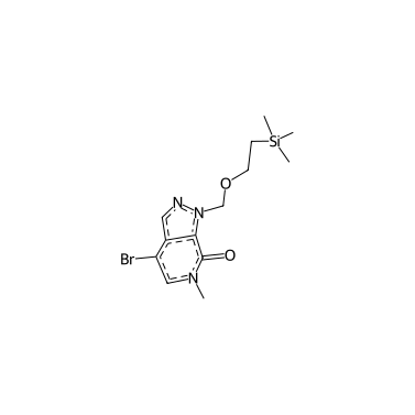 Cn1cc(Br)c2cnn(COCC[Si](C)(C)C)c2c1=O